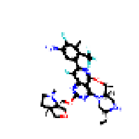 CC[C@@H]1CN2c3nc(OC[C@]45COC[C@H]4CCN5C)nc4c(F)c(-c5cc(N)c(F)c(C)c5C(F)(F)F)nc(c34)O[C@@H](C)[C@@H]2CN1